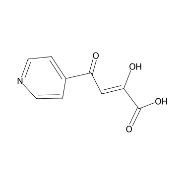 O=C(O)/C(O)=C/C(=O)c1ccncc1